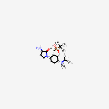 CC(C)N(C)[C@@H]1CC[C@H](N2CCC(N)C2=O)[C@H](CS(=O)(=O)C(C)(C)C)C1